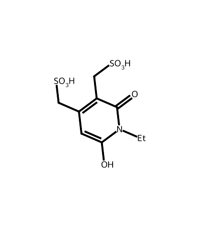 CCn1c(O)cc(CS(=O)(=O)O)c(CS(=O)(=O)O)c1=O